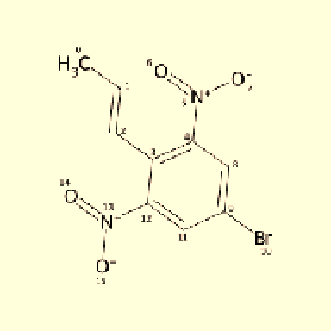 C/C=C/c1c([N+](=O)[O-])cc(Br)cc1[N+](=O)[O-]